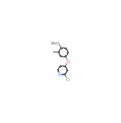 CSc1ccc(Oc2ccnc(Cl)c2)cc1C